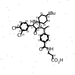 CC(c1ccc(C(=O)NCCC(=O)O)cc1)N1C(=O)C(c2ccc(Cl)c(Cl)c2)NC12CCC(C(C)(C)C)CC2